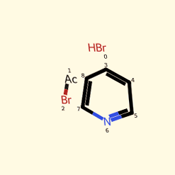 Br.CC(=O)Br.c1ccncc1